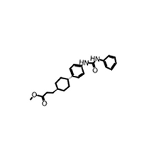 COC(=O)CC[C@H]1CC[C@H](c2ccc(NC(=O)Nc3ccccc3)cc2)CC1